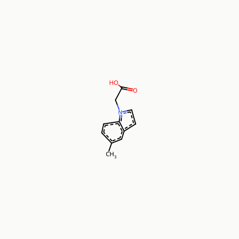 Cc1ccc2c(ccn2CC(=O)O)c1